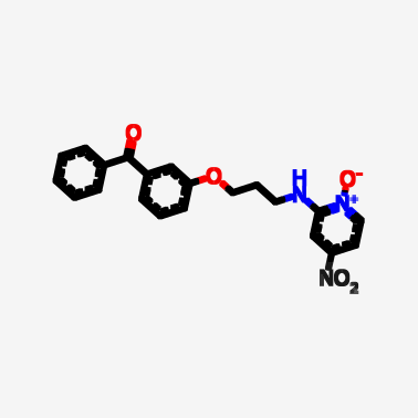 O=C(c1ccccc1)c1cccc(OCCCNc2cc([N+](=O)[O-])cc[n+]2[O-])c1